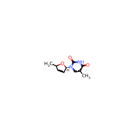 Cc1cn([C@H]2C=CC(C)O2)c(=O)[nH]c1=O